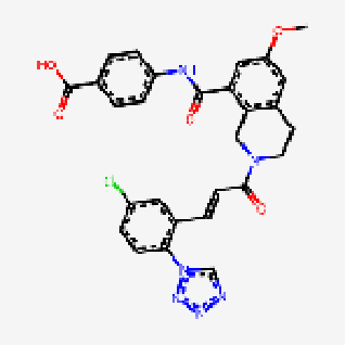 COc1cc2c(c(C(=O)Nc3ccc(C(=O)O)cc3)c1)CN(C(=O)/C=C/c1cc(Cl)ccc1-n1cnnn1)CC2